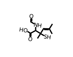 CC(C)=CC(C)(S)C(NC=O)C(=O)O